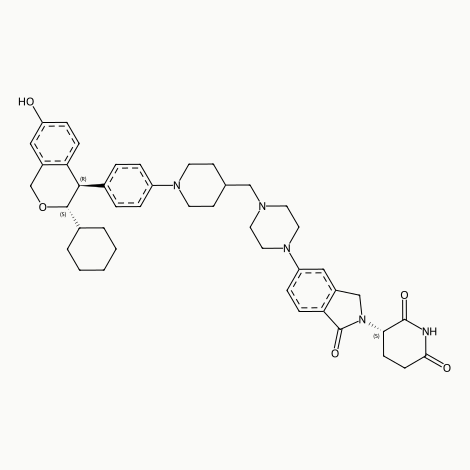 O=C1CC[C@H](N2Cc3cc(N4CCN(CC5CCN(c6ccc([C@@H]7c8ccc(O)cc8CO[C@H]7C7CCCCC7)cc6)CC5)CC4)ccc3C2=O)C(=O)N1